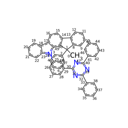 CC1(c2ccccc2)c2ccccc2-c2ccc3c4ccccc4n(-c4cccc(-c5nc(-c6ccccc6)nc(-c6ccccc6)n5)c4)c3c21